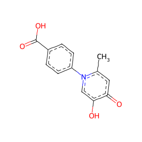 Cc1cc(=O)c(O)cn1-c1ccc(C(=O)O)cc1